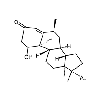 CC(=O)[C@@]1(C)CC[C@H]2[C@@H]3C[C@H](C)C4=CC(=O)CC(O)[C@]4(C)[C@H]3CC[C@@]21C